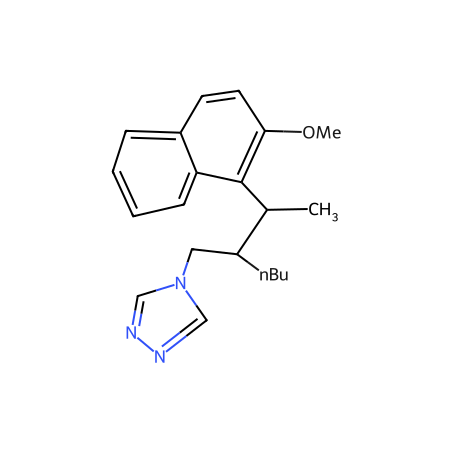 CCCCC(Cn1cnnc1)C(C)c1c(OC)ccc2ccccc12